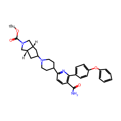 CC(C)(C)OC(=O)N1C[C@H]2CC(N3CCC(c4ccc(C(N)=O)c(-c5ccc(Oc6ccccc6)cc5)n4)CC3)C[C@H]2C1